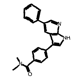 CN(C)C(=O)c1ccc(-c2c[nH]c3ncc(-c4ccccc4)cc23)cc1